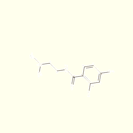 CCN(CC)CCNC(=O)c1ccc(F)cc1F